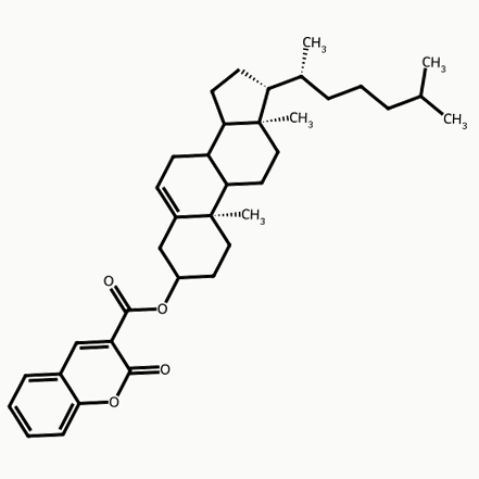 CC(C)CCC[C@@H](C)[C@H]1CCC2C3CC=C4CC(OC(=O)c5cc6ccccc6oc5=O)CC[C@]4(C)C3CC[C@@]21C